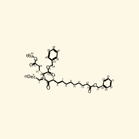 CCCCCCCCCCCN(C(=O)CCCCCCCCCC(=O)OCc1ccccc1)[C@H](CCC(=O)OC(C)(C)C)C(=O)OCc1ccccc1